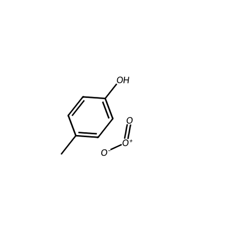 Cc1ccc(O)cc1.O=[O+][O-]